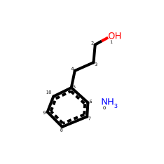 N.OCCCc1ccccc1